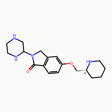 O=C1c2ccc(OC[C@H]3CCCCN3)cc2CN1C1CNCCN1